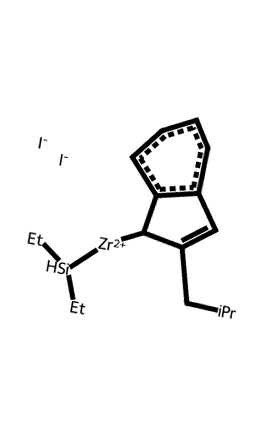 CC[SiH](CC)[Zr+2][CH]1C(CC(C)C)=Cc2ccccc21.[I-].[I-]